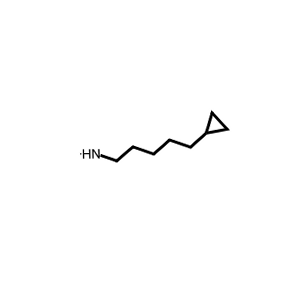 [NH]CCCCCC1CC1